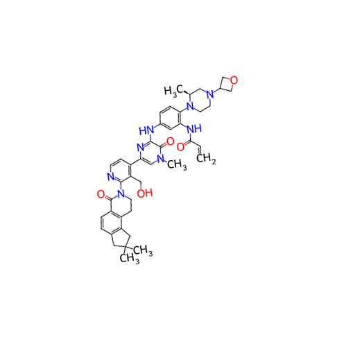 C=CC(=O)Nc1cc(Nc2nc(-c3ccnc(N4CCc5c(ccc6c5CC(C)(C)C6)C4=O)c3CO)cn(C)c2=O)ccc1N1CCN(C2COC2)C[C@@H]1C